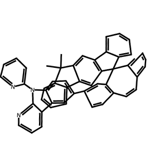 CC1(C)c2ccccc2-c2cc3c(cc21)-c1ccccc1C31c2ccccc2C=Cc2ccc(-c3ccc4c(c3)c3cccnc3n4-c3ccccn3)cc21